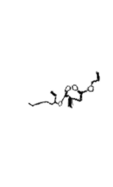 C=CCOC(=O)CC(=C)C(=O)OC(C=C)CCCC